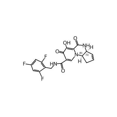 O=C(NCc1c(F)cc(F)cc1F)c1cn2c(c(O)c1=O)C(=O)N[C@H]1C=CC[C@H]12